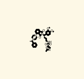 COc1ccc([C@@H](CCCNS(=O)(=O)c2cnc(C)s2)N2C(=O)c3cccc(N4CCN([C@H](C)c5ccccc5)CC4)c3C2=O)cc1OC